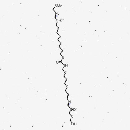 CSC/N=C/[S+]([O-])CSCSCSCSCSC(=O)NCSCSCSCSC/N=C/[S+]([O-])CSCO